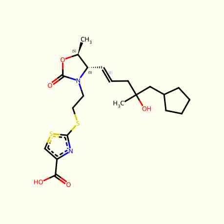 C[C@@H]1OC(=O)N(CCSc2nc(C(=O)O)cs2)[C@H]1/C=C/CC(C)(O)CC1CCCC1